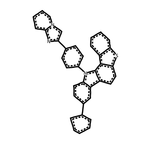 c1ccc(-c2ccc3c(c2)c2ccc4sc5ccccc5c4c2n3-c2ccc(-c3cn4ccccc4n3)cc2)cc1